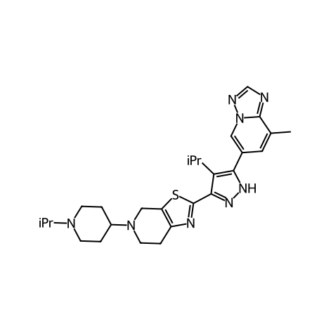 Cc1cc(-c2[nH]nc(-c3nc4c(s3)CN(C3CCN(C(C)C)CC3)CC4)c2C(C)C)cn2ncnc12